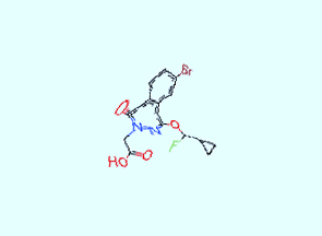 O=C(O)Cn1nc(OC(F)C2CC2)c2cc(Br)ccc2c1=O